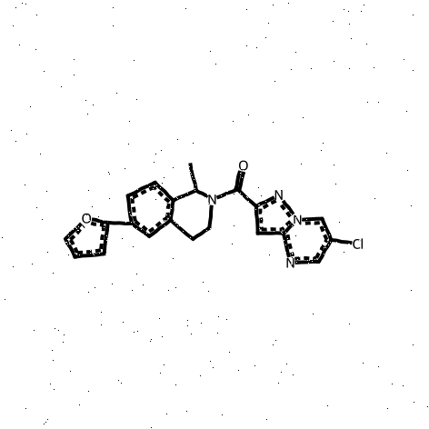 CC1c2ccc(-c3ccco3)cc2CCN1C(=O)c1cc2ncc(Cl)cn2n1